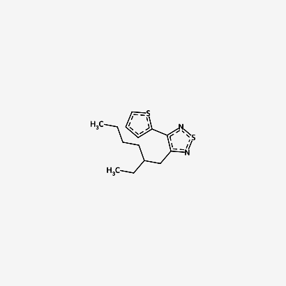 CCCCC(CC)Cc1nsnc1-c1cccs1